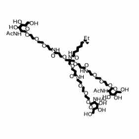 CCN(C)CCCCCC(=O)NC(COCCC(=O)NCCOCCOCCO[C@@H]1OC(CO)[C@H](O)[C@H](O)C1NC(C)=O)(COCCC(=O)NCCOCCOCCO[C@@H]1OC(CO)[C@H](O)[C@H](O)C1NC(C)=O)COCCC(=O)NCCOCCOCCO[C@@H]1OC(CO)[C@H](O)[C@H](O)C1NC(C)=O